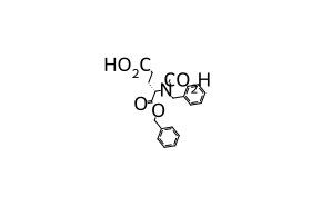 O=C(O)CC[C@@H](C(=O)OCc1ccccc1)N(Cc1ccccc1)C(=O)O